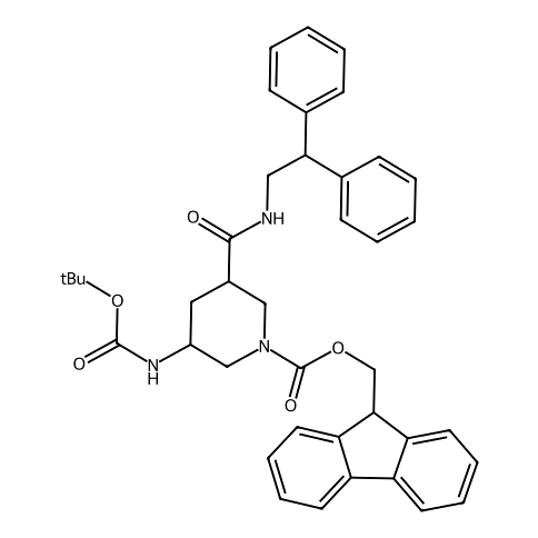 CC(C)(C)OC(=O)NC1CC(C(=O)NCC(c2ccccc2)c2ccccc2)CN(C(=O)OCC2c3ccccc3-c3ccccc32)C1